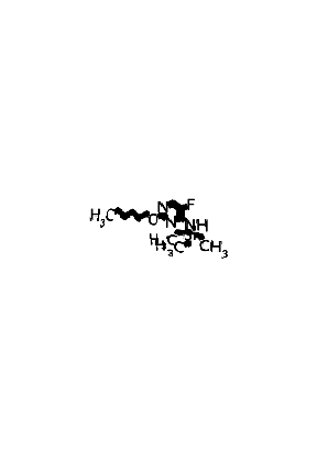 CCCCCCOc1ncc(F)c(N[Si](CC)(CC)CC)n1